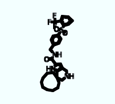 O=C(NCc1ccc(S(=O)(=O)c2ccccc2C(F)(F)F)cc1)c1cc2c([nH]1)C1(CCCCCCCCC1)CNC2